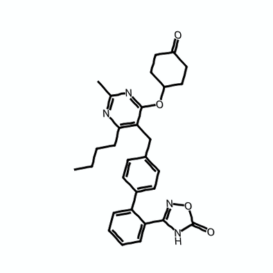 CCCCc1nc(C)nc(OC2CCC(=O)CC2)c1Cc1ccc(-c2ccccc2-c2noc(=O)[nH]2)cc1